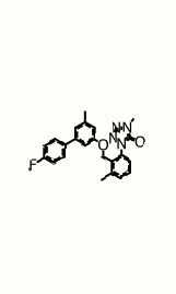 Cc1cc(OCc2c(C)cccc2-n2nnn(C)c2=O)cc(-c2ccc(F)cc2)c1